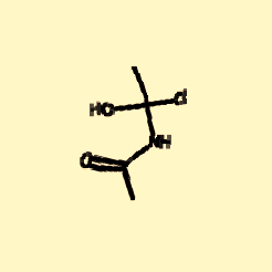 CC(=O)NC(C)(O)Cl